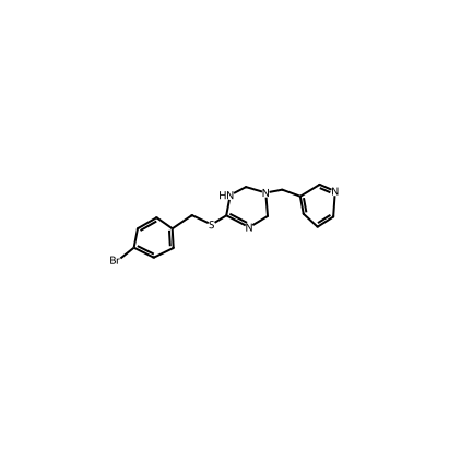 Brc1ccc(CSC2=NCN(Cc3cccnc3)CN2)cc1